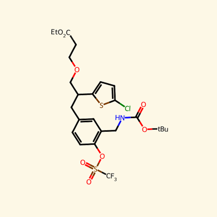 CCOC(=O)CCOCC(Cc1ccc(OS(=O)(=O)C(F)(F)F)c(CNC(=O)OC(C)(C)C)c1)c1ccc(Cl)s1